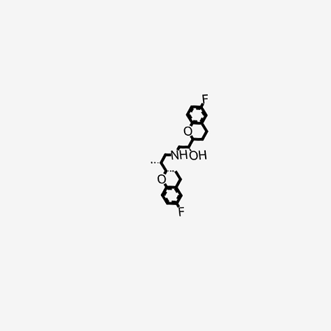 C[C@H](CNC[C@@H](O)C1CCc2cc(F)ccc2O1)[C@@H]1CCc2cc(F)ccc2O1